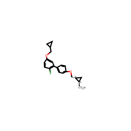 O=C(O)[C@@H]1C[C@H]1COc1ccc(-c2cc(OCC3CC3)ccc2F)cc1